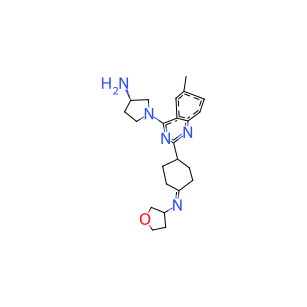 Cc1ccc2nc(C3CCC(=NC4CCOC4)CC3)nc(N3CC[C@@H](N)C3)c2c1